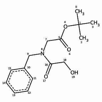 CC(C)(C)OC(=O)CN(Cc1ccccc1)C(=O)CO